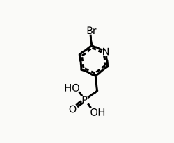 O=P(O)(O)Cc1ccc(Br)nc1